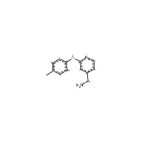 Cc1ccc(Oc2cc(CN)ccn2)cc1